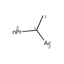 [CH2]CCC(C)C(C)=O